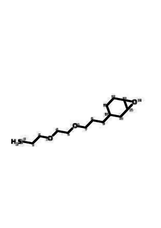 [SiH3]CCOCCOCCCC1CCC2OC2C1